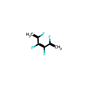 C=C(F)/C(F)=C(/F)C(=C)F